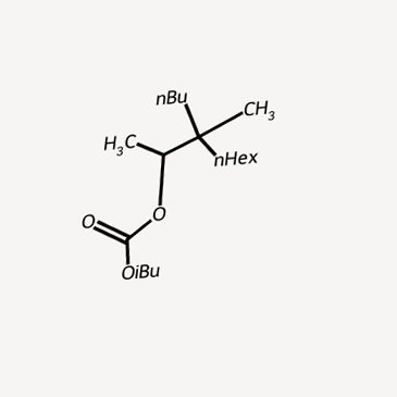 CCCCCCC(C)(CCCC)C(C)OC(=O)OCC(C)C